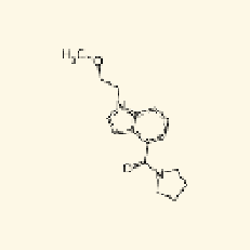 COCCn1ccc2c(C(=O)N3CCCC3)cccc21